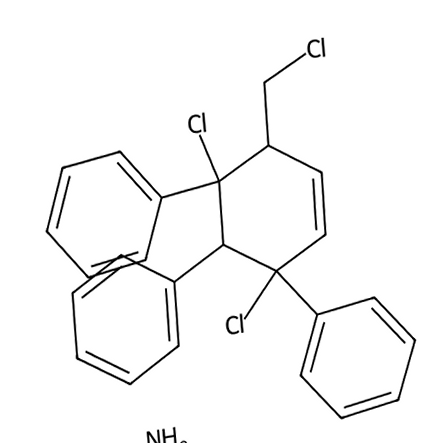 ClCC1C=CC(Cl)(c2ccccc2)C(c2ccccc2)C1(Cl)c1ccccc1.N